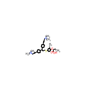 CCC(Oc1ccc(SCC=C(c2ccc(C#CCN(C)C)cc2)c2ccc(C#CCN(C)C)cc2)cc1C)C(=O)O